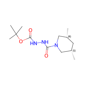 C[C@@H]1C[C@H](C)CN(C(=O)NNC(=O)OC(C)(C)C)C1